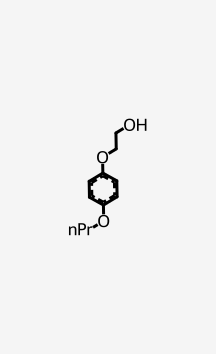 CCCOc1ccc(OCCO)cc1